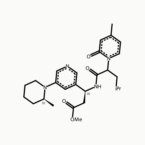 COC(=O)C[C@H](NC(=O)C(CC(C)C)n1ccc(C)cc1=O)c1cncc(N2CCCC[C@@H]2C)c1